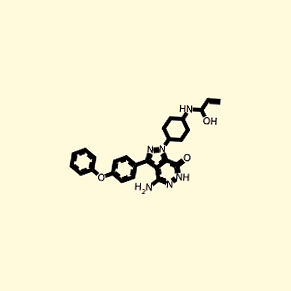 C=CC(O)NC1CCC(n2nc(-c3ccc(Oc4ccccc4)cc3)c3c(N)n[nH]c(=O)c32)CC1